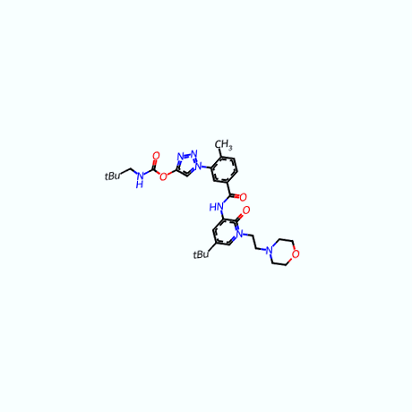 Cc1ccc(C(=O)Nc2cc(C(C)(C)C)cn(CCN3CCOCC3)c2=O)cc1-n1cc(OC(=O)NCC(C)(C)C)nn1